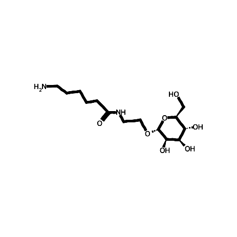 NCCCCCC(=O)NCCO[C@@H]1O[C@@H](CO)[C@H](O)[C@@H](O)[C@H]1O